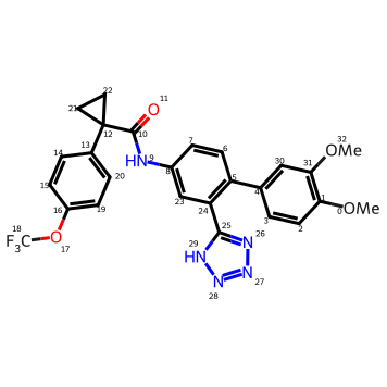 COc1ccc(-c2ccc(NC(=O)C3(c4ccc(OC(F)(F)F)cc4)CC3)cc2-c2nnn[nH]2)cc1OC